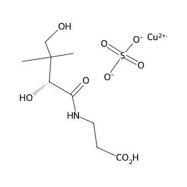 CC(C)(CO)[C@@H](O)C(=O)NCCC(=O)O.O=S(=O)([O-])[O-].[Cu+2]